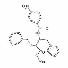 CC(C)(C)OC(=O)C(OCc1ccccc1)C(Cc1ccccc1)NC(=O)c1ccc([N+](=O)[O-])cc1